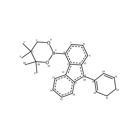 CC1(C)COB(c2cccc3c2c2ccccc2n3C2=CCCC=C2)OC1(C)C